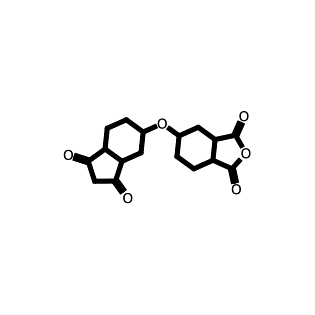 O=C1CC(=O)C2CC(OC3CCC4C(=O)OC(=O)C4C3)CCC12